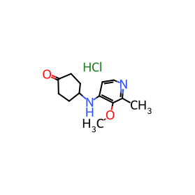 COc1c(NC2CCC(=O)CC2)ccnc1C.Cl